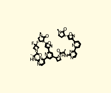 C[C@@H](Nc1nccc(-c2cc(C3CCN3C(=O)[C@@H](C)Nc3nccc(-c4cccc(-c5cc([C@@H]6CCN(C)C6=O)on5)n4)n3)cc(-c3cc([C@@H]4CCN(C)C4=O)on3)n2)n1)C(=O)N1CC(F)(F)C1